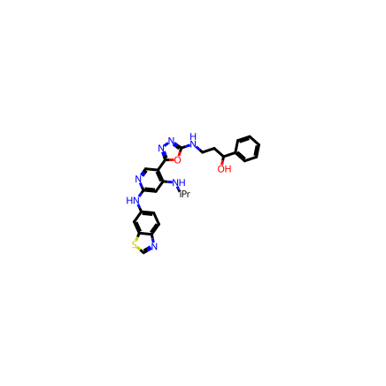 CC(C)Nc1cc(Nc2ccc3ncsc3c2)ncc1-c1nnc(NCCC(O)c2ccccc2)o1